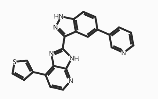 c1cncc(-c2ccc3[nH]nc(-c4nc5c(-c6ccsc6)ccnc5[nH]4)c3c2)c1